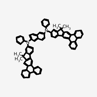 CC1(C)c2cc(N(c3ccccc3)c3ccc4cc(N(c5ccccc5)c5ccc6c(c5)C(C)(C)c5cc7c8ccccc8c8ccccc8c7cc5-6)ccc4c3)ccc2-c2cc3c4ccccc4c4ccccc4c3cc21